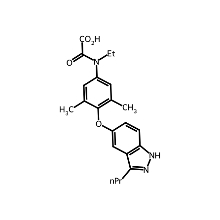 CCCc1n[nH]c2ccc(Oc3c(C)cc(N(CC)C(=O)C(=O)O)cc3C)cc12